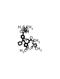 COc1ccc2c(c1)C=C(C(=O)N(C)CC1CCC(C)N1C)Cn1c-2c(C2CCCCC2)c2ccc(C(=O)NS(=O)(=O)N(C)C)cc21